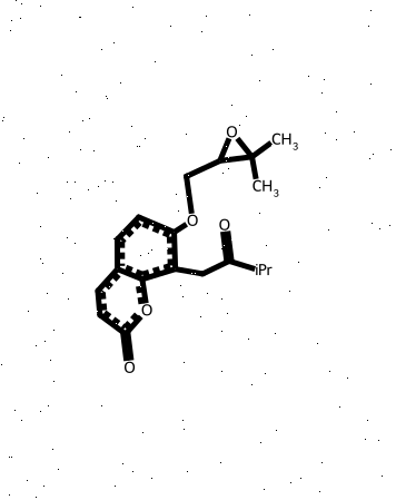 CC(C)C(=O)Cc1c(OCC2OC2(C)C)ccc2ccc(=O)oc12